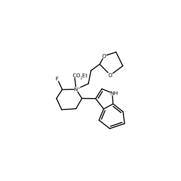 CCOC(=O)[N+]1(CCC2OCCO2)C(F)CCCC1c1c[nH]c2ccccc12